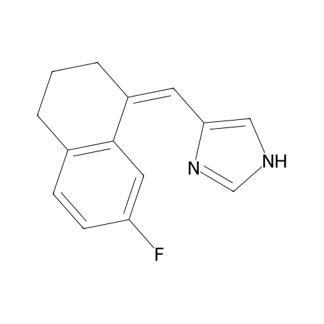 Fc1ccc2c(c1)/C(=C\c1c[nH]cn1)CCC2